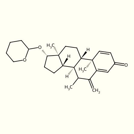 C=C1C2=CC(=O)C=C[C@]2(C)[C@H]2CC[C@]3(C)[C@@H](OC4CCCCO4)CC[C@H]3[C@@H]2C1C